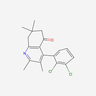 Cc1nc2c(c(-c3cccc(Cl)c3Cl)c1C)C(=O)CC(C)(C)C2